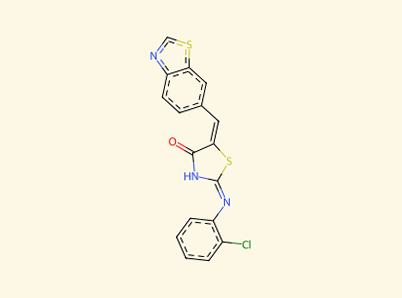 O=C1NC(=Nc2ccccc2Cl)SC1=Cc1ccc2ncsc2c1